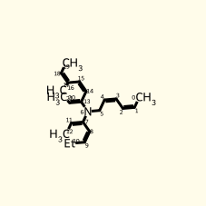 C/C=C\C=C/CN(C(/C=C\CC)=C/C)C(/C=C\C(C)=C/C)=C/C